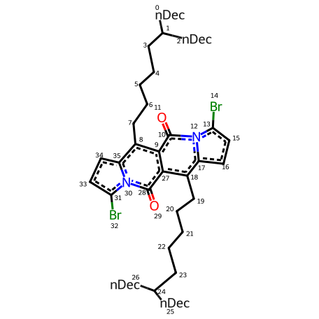 CCCCCCCCCCC(CCCCCCCCCC)CCCCCc1c2c(=O)n3c(Br)ccc3c(CCCCCC(CCCCCCCCCC)CCCCCCCCCC)c2c(=O)n2c(Br)ccc12